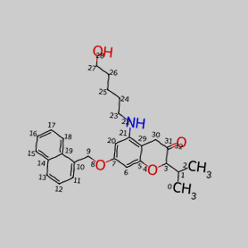 CC(C)C1Oc2cc(OCc3cccc4ccccc34)cc(NCCCCCO)c2CC1=O